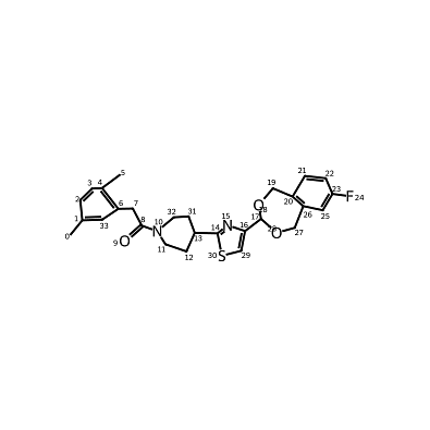 Cc1ccc(C)c(CC(=O)N2CCC(c3nc(C4OCc5ccc(F)cc5CO4)cs3)CC2)c1